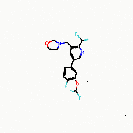 Fc1ccc(-c2cnc(C(F)F)c(CN3CCOC3)c2)cc1OC(F)F